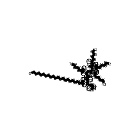 CCCCCCCCCCCCCCCCCCCCCC(=O)OC(c1cnco1)c1nc(C(CC(OC(=O)CCCCC)C(OC(=O)CCCCC)C(C)OC(=O)CCCCC)OC(=O)CCCCC)co1